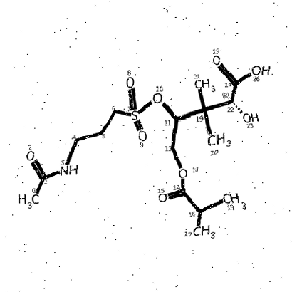 CC(=O)NCCCS(=O)(=O)OC(COC(=O)C(C)C)C(C)(C)[C@@H](O)C(=O)O